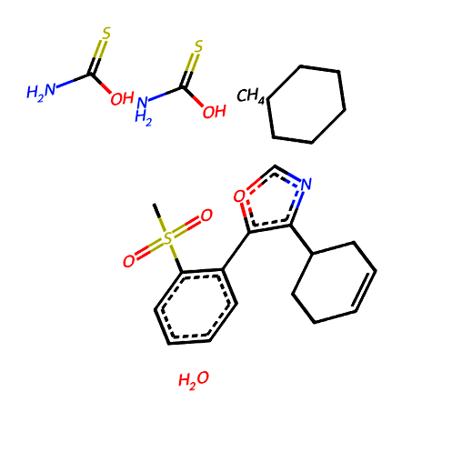 C.C1CCCCC1.CS(=O)(=O)c1ccccc1-c1ocnc1C1CC=CCC1.NC(O)=S.NC(O)=S.O